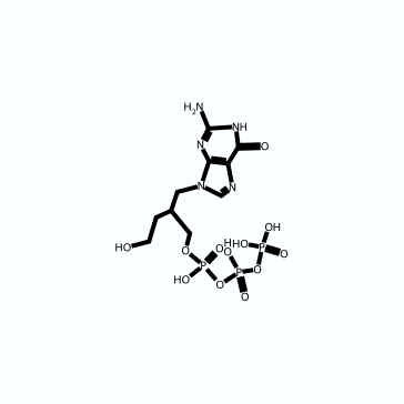 Nc1nc2c(ncn2CC(CCO)COP(=O)(O)OP(=O)(O)OP(=O)(O)O)c(=O)[nH]1